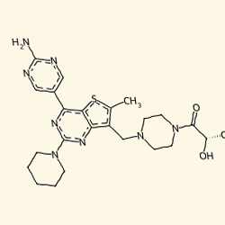 Cc1sc2c(-c3cnc(N)nc3)nc(N3CCCCC3)nc2c1CN1CCN(C(=O)[C@H](C)O)CC1